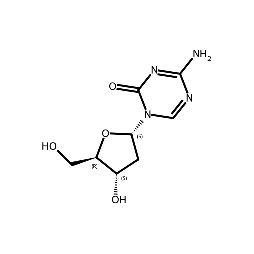 Nc1ncn([C@@H]2C[C@H](O)[C@@H](CO)O2)c(=O)n1